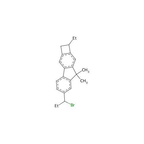 CCC(Br)c1ccc2c(c1)C(C)(C)c1cc3c(cc1-2)CC3CC